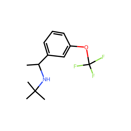 CC(NC(C)(C)C)c1cccc(OC(F)(F)F)c1